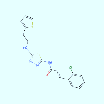 O=C(/C=C/c1ccccc1Cl)Nc1nnc(NCCc2cccs2)s1